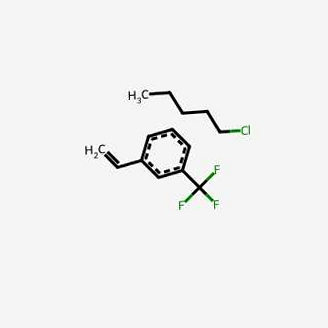 C=Cc1cccc(C(F)(F)F)c1.CCCCCCl